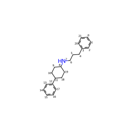 c1ccc(CCCNC2CCC(c3ccccc3)CC2)cc1